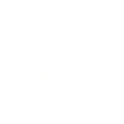 CC1=CC1S